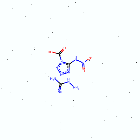 N=C(N)NN.O=C(O)n1nnnc1N[N+](=O)[O-]